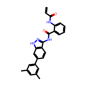 C=CC(=O)Nc1ccccc1C(=O)Nc1n[nH]c2cc(-c3cc(C)cc(C)c3)ccc12